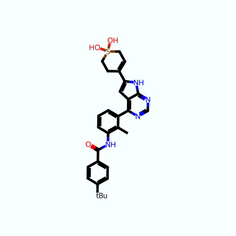 Cc1c(NC(=O)c2ccc(C(C)(C)C)cc2)cccc1-c1ncnc2[nH]c(C3=CCS(O)(O)CC3)cc12